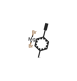 C#Cc1ccc([CH2])cc1.[Br][Mg][Br]